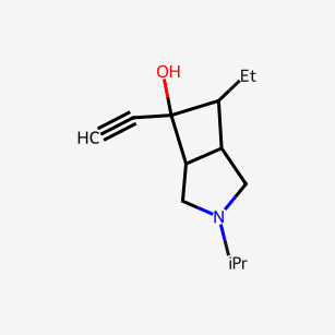 C#CC1(O)C(CC)C2CN(C(C)C)CC21